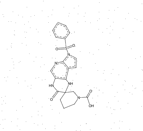 O=C(O)N1CCCC2(C1)Nc1c(cnc3c1ccn3S(=O)(=O)c1ccccc1)NC2=O